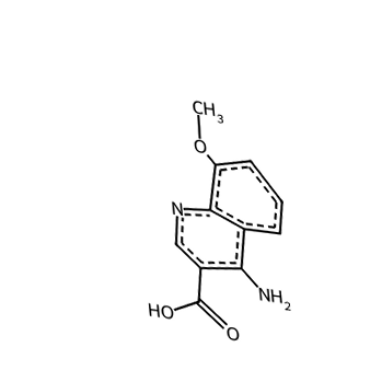 COc1cccc2c(N)c(C(=O)O)cnc12